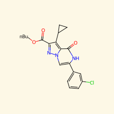 CCCCOC(=O)c1nn2cc(-c3cccc(Cl)c3)[nH]c(=O)c2c1C1CC1